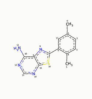 Cc1ccc(C)c(-c2nc3c(N)ncnc3s2)c1